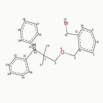 CC(C)(COCc1ccccc1CBr)[SiH](c1ccccc1)c1ccccc1